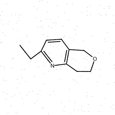 CCc1ccc2c(n1)CCOC2